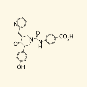 O=C(O)c1ccc(NC(=O)N2CC(=Cc3ccccn3)C(=O)C(c3ccc(O)cc3)C2)cc1